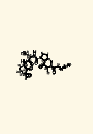 CCCC[C@H](NC(=O)[C@@H]1CCCN1C(=O)[C@H](C)NC(=O)CN=[N+]=[N-])C(=O)N[C@@H](CC(C)C)C(=O)[C@@]1(C)CO1